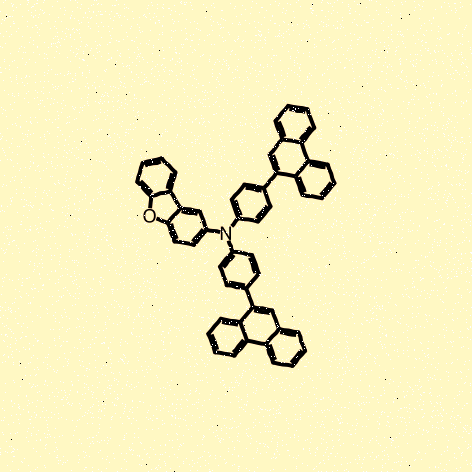 c1ccc2c(c1)cc(-c1ccc(N(c3ccc(-c4cc5ccccc5c5ccccc45)cc3)c3ccc4oc5ccccc5c4c3)cc1)c1ccccc12